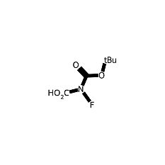 CC(C)(C)OC(=O)N(F)C(=O)O